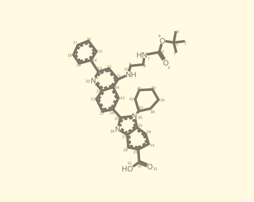 CC(C)(C)OC(=O)NCCNc1cc(-c2ccccc2)nc2ccc(-c3nc4cc(C(=O)O)ccc4n3C3CCCCC3)cc12